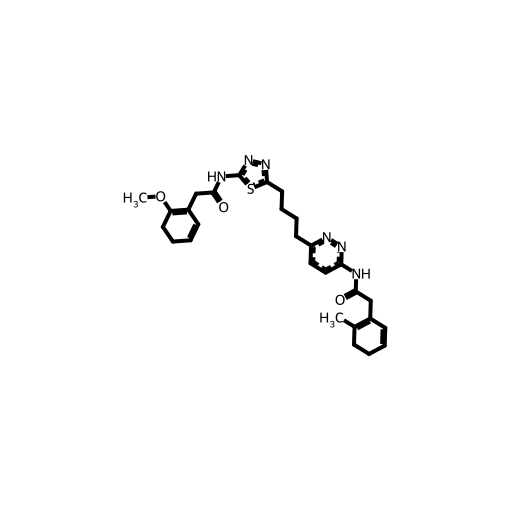 COC1=C(CC(=O)Nc2nnc(CCCCc3ccc(NC(=O)CC4=C(C)CCC=C4)nn3)s2)C=CCC1